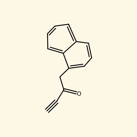 C#CC(=O)Cc1cccc2ccccc12